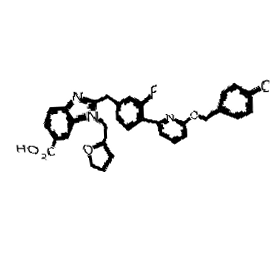 O=C(O)c1ccc2nc(Cc3ccc(-c4cccc(OCc5ccc(Cl)cc5)n4)c(F)c3)n(CC3CCCO3)c2c1